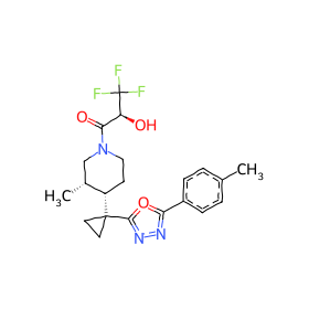 Cc1ccc(-c2nnc(C3([C@H]4CCN(C(=O)[C@H](O)C(F)(F)F)C[C@H]4C)CC3)o2)cc1